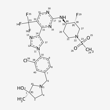 C[C@@]1(O)CCN(Cc2ccc(-n3cnc(-c4nc(N[C@@H]5CCN(S(C)(=O)=O)C[C@H]5F)ncc4C(F)(F)F)c3)c(Cl)c2)C1